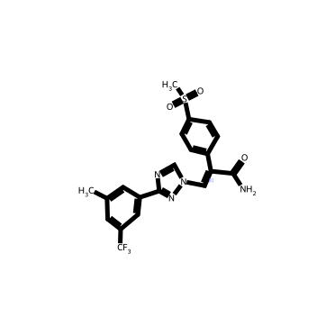 Cc1cc(-c2ncn(/C=C(/C(N)=O)c3ccc(S(C)(=O)=O)cc3)n2)cc(C(F)(F)F)c1